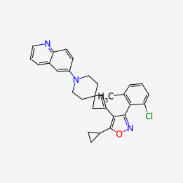 Cc1cccc(Cl)c1-c1noc(C2CC2)c1C1=CC2(CCN(c3ccc4ncccc4c3)CC2)C1